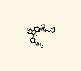 Nc1cccc(-c2nc3cc(C(=O)NCCN4CCCC4)ccc3c3cnccc23)c1